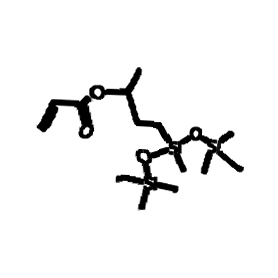 C=CC(=O)OC(C)CC[Si](C)(O[Si](C)(C)C)O[Si](C)(C)C